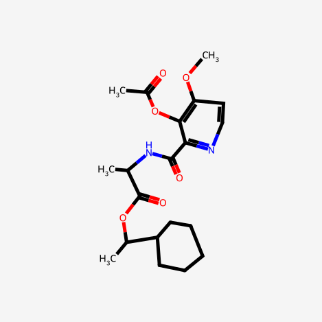 COc1ccnc(C(=O)NC(C)C(=O)OC(C)C2CCCCC2)c1OC(C)=O